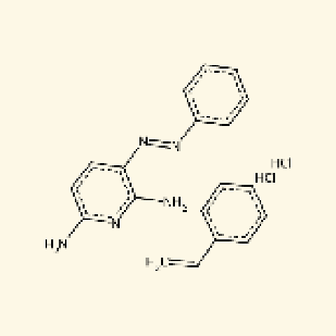 C=Cc1ccccc1.Cl.Cl.Nc1ccc(/N=N/c2ccccc2)c(N)n1